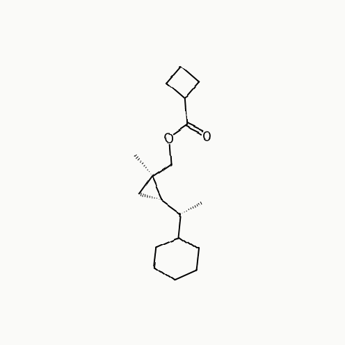 C[C@H](C1CCCCC1)[C@@H]1C[C@@]1(C)COC(=O)C1CCC1